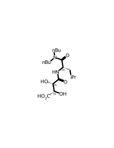 CCCCN(CCCC)C(=O)[C@H](CC(C)C)NC(=O)[C@@H](O)[C@H](O)C(=O)O